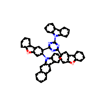 c1ccc2cc3c(cc2c1)c1ccccc1n3-c1cc2oc3ccccc3c2cc1-c1nc(-c2ccc3oc4ccccc4c3c2)nc(-n2c3ccccc3c3ccccc32)n1